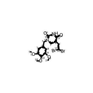 COc1cc(Cn2cc(C=C(Br)Br)c(=O)[nH]c2=O)cc(OC)c1OC